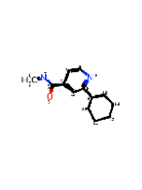 C=NC(=O)c1ccnc(C2CCCCC2)c1